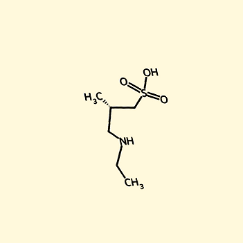 CCNC[C@H](C)CS(=O)(=O)O